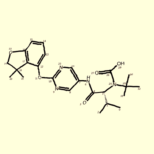 CC(C)[C@H](C(=O)Nc1cnc(Oc2cccc3c2C(C)(C)CO3)nc1)N(C(=O)O)C(C)(C)C